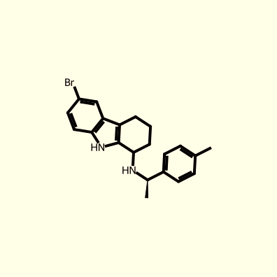 Cc1ccc([C@@H](C)NC2CCCc3c2[nH]c2ccc(Br)cc32)cc1